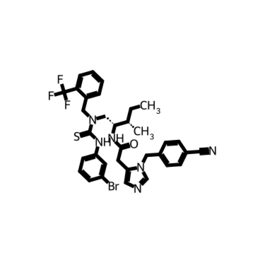 CC[C@H](C)[C@@H](CN(Cc1ccccc1C(F)(F)F)C(=S)Nc1cccc(Br)c1)NC(=O)Cc1cncn1Cc1ccc(C#N)cc1